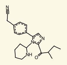 CCC(C)C(=O)c1ncc(-c2ccc(CC#N)cc2)n1C1CCCCN1